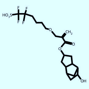 C=C(COCCCCC(F)(F)C(F)(F)S(=O)(=O)O)C(=O)OC1CC2C3CC(O)C(C3)C2C1